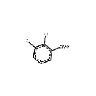 COc1cccc(F)c1Cl